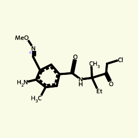 CCC(C)(NC(=O)c1cc(C)c(N)c(/C=N/OC)c1)C(=O)CCl